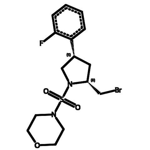 O=S(=O)(N1CCOCC1)N1C[C@H](c2ccccc2F)C[C@@H]1CBr